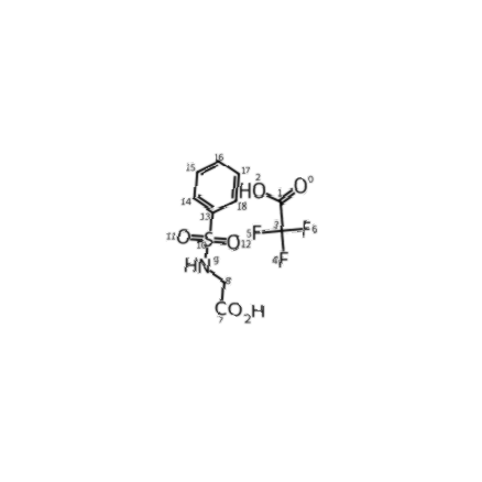 O=C(O)C(F)(F)F.O=C(O)CNS(=O)(=O)c1ccccc1